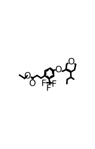 CCOC(=O)CCc1ccc(OCC2=C(C(C)CC)CCOC2)cc1C(F)(F)F